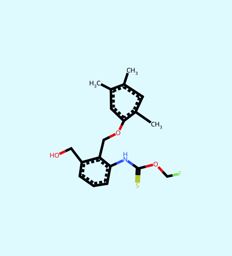 Cc1cc(C)c(OCc2c(CO)cccc2NC(=S)OCF)cc1C